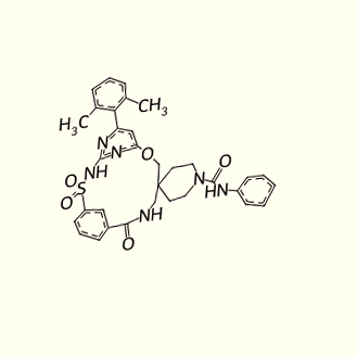 Cc1cccc(C)c1-c1cc2nc(n1)NS(=O)(=O)c1cccc(c1)C(=O)NCC1(CCN(C(=O)Nc3ccccc3)CC1)CO2